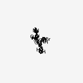 CC(=O)c1nn(CC(=O)N2C3C[C@]3(CN3C[C@H]4CCC[C@H]4C3)C[C@H]2C(=O)Nc2nc(Br)ccc2C)c2cnc(-c3cnc(C)nc3)cc12